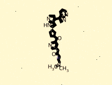 CN(C)C/C=C/C(=O)Cc1cncc(C(=O)C2CC[C@H](c3cc4c(-c5cnn6ncccc56)ccnc4[nH]3)C2)c1